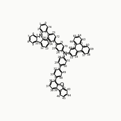 c1ccc(-n2c3ccccc3c3ccccc32)c(-c2ccc(-c3ccc(N(c4ccc(-c5ccc(-c6cccc7c6oc6ccccc67)cc5)cc4)c4ccc5c6ccccc6c6ccccc6c5c4)cc3)cc2)c1